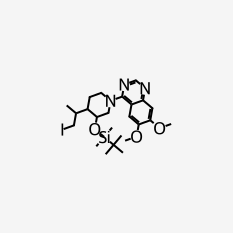 COc1cc2ncnc(N3CCC(C(C)CI)C(O[Si](C)(C)C(C)(C)C)C3)c2cc1OC